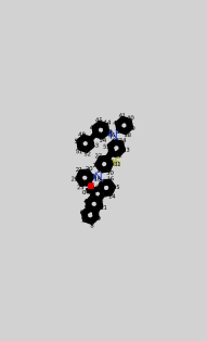 CC1(C)c2cc3ccccc3cc2-c2cccc(N(c3ccccc3)c3ccc4c(c3)sc3ccc(N(c5ccccc5)c5cccc(-c6ccccc6)c5)cc34)c21